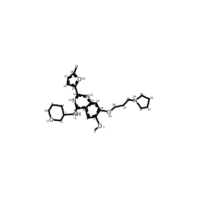 COc1cc2c(NC3CCCOC3)nc(-c3ccc(C)o3)nc2cc1OCCCN1CCCC1